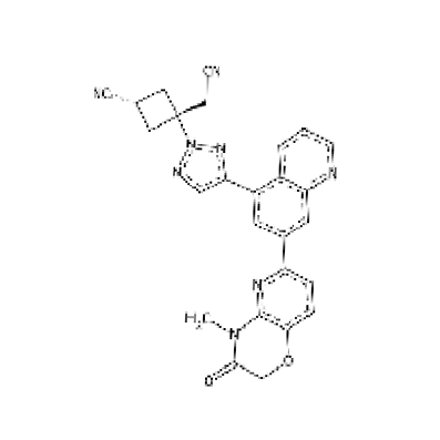 CN1C(=O)COc2ccc(-c3cc(-c4cnn([C@]5(CC#N)C[C@H](C#N)C5)n4)c4cccnc4c3)nc21